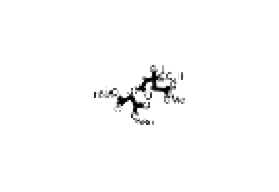 CCCCOC(=O)C(OC(=O)CC(O)(CC(=O)OC)C(=O)O)C(=O)OCCCC